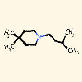 CC(C)CCN1CCC(C)(C)CC1